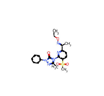 CCON=C(C)c1ccc(S(C)(=O)=O)c(-n2c(C)nn(-c3ccccc3)c2=O)n1